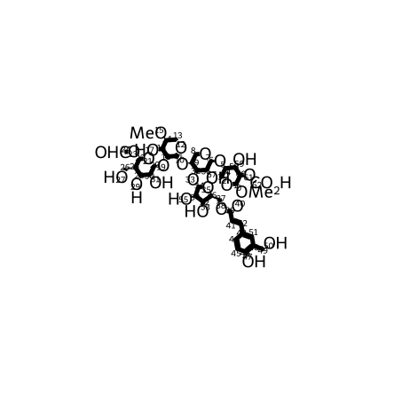 CO[C@@H]1OC[C@@H](O[C@@H]2OC[C@@H](O[C@@H]3OC[C@@H](OC)C(O)C3O[C@H]3OC(OC=O)[C@@H](CO)[C@H](O)C3O)[C@H](O[C@@H]3O[C@@H](COC(=O)/C=C/c4ccc(O)c(CO)c4)C(O)[C@@H]3O)C2O)C(O)C1OC(=O)O